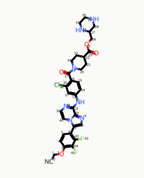 N#CCOc1ccc(-c2cnc3c(Nc4ccc(C(=O)N5CCC(C(=O)OCC6CNCCN6)CC5)c(Cl)c4)nccn23)c(F)c1F